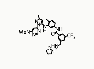 CNc1cc(-n2nc(C)cc2Nc2cc(NC(=O)c3cc(CNC[C@@H]4CCCO4)cc(C(F)(F)F)c3)ccc2C)ncn1